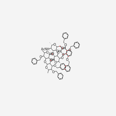 CC(=O)NC1[C@H](C)OC(CO)[C@@H](O)[C@@H]1O[C@@H]1OC(C)[C@H](OCc2ccccc2)[C@H](O[C@@H]2OC(C)[C@H](OCc3ccccc3)[C@H](OCc3ccccc3)C2O[C@@H]2OC(C)[C@H](OCc3ccccc3)[C@H](O[C@H]3O[C@@H](COCc4ccccc4)[C@@H](OCc4ccccc4)C(OCc4ccccc4)C3C)C2O)C1O